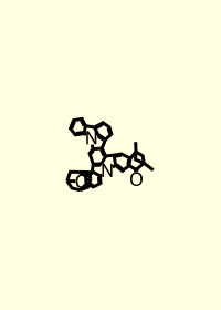 CC12CC(C)(C1)c1cc3c4c5c6cccc7c8ccccc8n(c5cc5c8c9c(ccc8n(c3cc1C2=O)c54)C1CC2CC(C1)CC9C2)c76